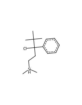 C[SiH](C)CCC(Cl)(c1ccccc1)C(C)(C)C